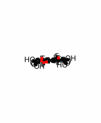 O=C(O)c1ccc(C(F)(F)C(F)(c2ccc(-c3ccc(C(F)(C(F)(F)F)C(F)(F)c4ccc(C(=O)O)c(C(=O)O)c4)cc3)cc2)C(F)(F)F)cc1C(=O)O